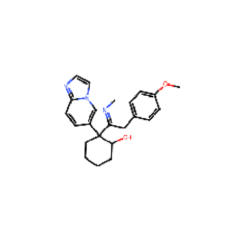 CN=C(Cc1ccc(OC)cc1)C1(c2ccc3nccn3c2)CCCCC1O